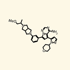 COCC(C)N1CC2CN(c3cccc(-c4cc(-c5ccnn5C5CCOCC5)c5c(N)ncnn45)c3)CC2C1